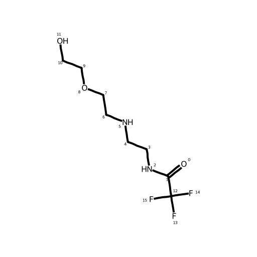 O=C(NCCNCCOCCO)C(F)(F)F